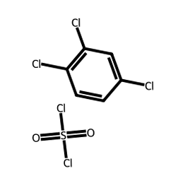 Clc1ccc(Cl)c(Cl)c1.O=S(=O)(Cl)Cl